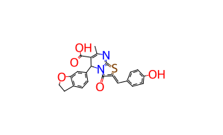 CC1=C(C(=O)O)C(c2ccc3c(c2)OCC3)n2c(s/c(=C\c3ccc(O)cc3)c2=O)=N1